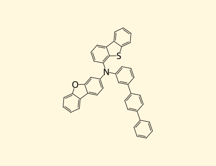 c1ccc(-c2ccc(-c3cccc(N(c4ccc5c(c4)oc4ccccc45)c4cccc5c4sc4ccccc45)c3)cc2)cc1